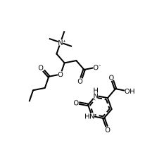 CCCC(=O)OC(CC(=O)[O-])C[N+](C)(C)C.O=C(O)c1cc(=O)[nH]c(=O)[nH]1